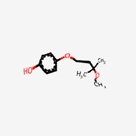 COC(C)(C)CCOc1ccc(O)cc1